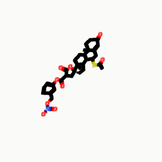 CC(=O)SC1CC2=CC(=O)CCC2(C)C2CCC3(C)C(CC[C@@]34CC(C(=O)Oc3cccc(CO[N+](=O)[O-])c3)C(=O)O4)C12